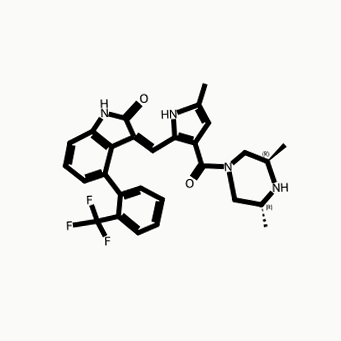 Cc1cc(C(=O)N2C[C@@H](C)N[C@H](C)C2)c(C=C2C(=O)Nc3cccc(-c4ccccc4C(F)(F)F)c32)[nH]1